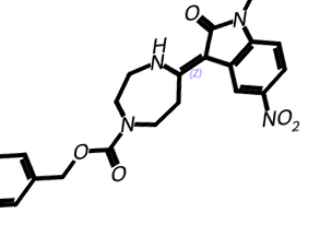 CN1C(=O)/C(=C2/CCN(C(=O)OCc3ccccc3)CCN2)c2cc([N+](=O)[O-])ccc21